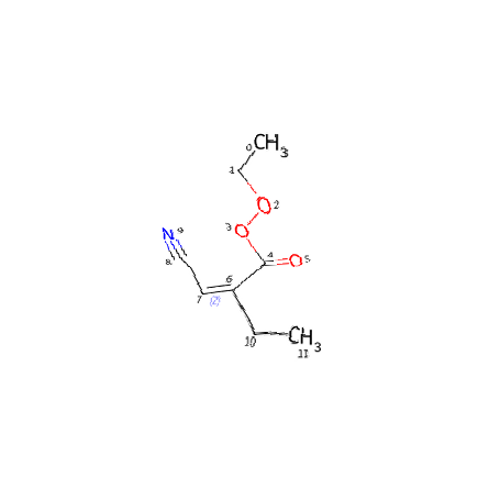 CCOOC(=O)/C(=C\C#N)CC